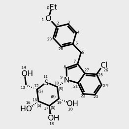 CCOc1ccc(Cc2cn([C@H]3S[C@@H](CO)[C@@H](O)[C@H](O)[C@H]3O)c3cccc(Cl)c23)cc1